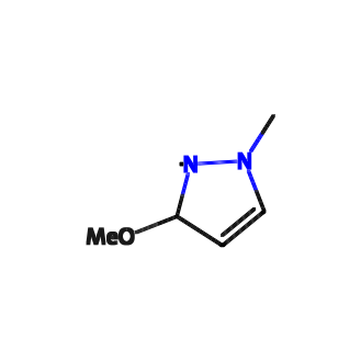 COC1C=CN(C)[N]1